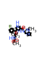 CNC[C@@H](CC1CCCC1)NC(=O)C1CNCC([C@@H](OCCNC(=O)OC)c2cc(F)ccc2C)C1